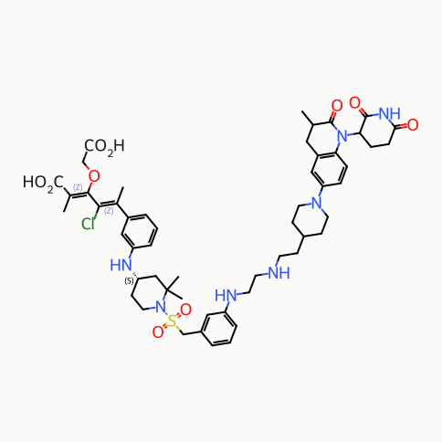 C/C(C(=O)O)=C(OCC(=O)O)\C(Cl)=C(/C)c1cccc(N[C@H]2CCN(S(=O)(=O)Cc3cccc(NCCNCCC4CCN(c5ccc6c(c5)CC(C)C(=O)N6C5CCC(=O)NC5=O)CC4)c3)C(C)(C)C2)c1